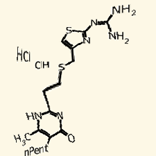 CCCCCc1c(C)[nH]c(CCSCc2csc(N=C(N)N)n2)nc1=O.Cl.Cl